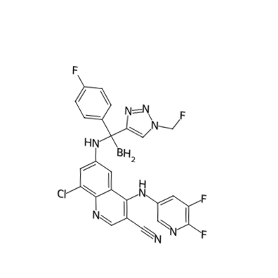 BC(Nc1cc(Cl)c2ncc(C#N)c(Nc3cnc(F)c(F)c3)c2c1)(c1ccc(F)cc1)c1cn(CF)nn1